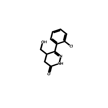 O=C1CC(CO)C(c2ccccc2Cl)=NN1